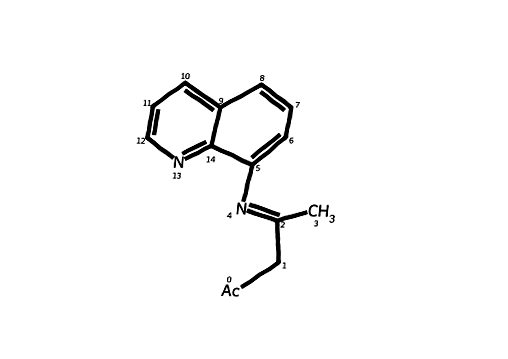 CC(=O)C/C(C)=N/c1cccc2cccnc12